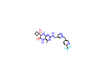 COC1(C2C(=O)Nc3c(C)nc(NCc4cnn(Cc5ccc(C(F)(F)F)nc5)c4)nc3N2C)CCC1